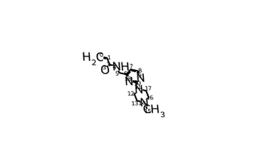 C=CC(=O)NCc1ccnc(N2CCN(C)CC2)n1